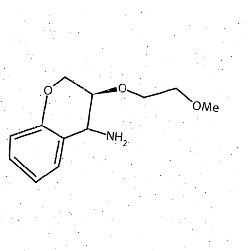 COCCO[C@@H]1COc2ccccc2C1N